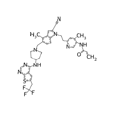 C=CC(=O)Nc1cnc(CCn2c(C#N)cc3c(C)c(CN4CCC(Nc5ncnc6sc(CC(F)(F)F)cc56)CC4)ccc32)cc1C